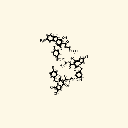 C[C@H](NC(=O)c1c(O)c2cc(Cl)cn2n(Cc2ccccn2)c1=O)C(=O)O.O=C(O)CNC(=O)c1c(O)c2cc(Cl)c(Cl)n2n(Cc2ccc(F)cc2)c1=O.O=C(O)CNC(=O)c1c(O)c2cc3ccc(C(F)(F)F)cc3n2n(Cc2ccc(F)cc2)c1=O